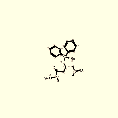 CCN(C)C[C@H](CC(=O)N(C)OC)O[Si](c1ccccc1)(c1ccccc1)C(C)(C)C